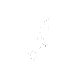 O=C[C@H]1CC[C@H](CNC(=O)OCc2ccccc2)CC1